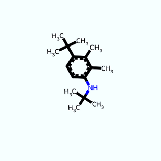 Cc1c(NC(C)(C)C)ccc(C(C)(C)C)c1C